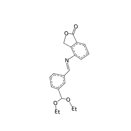 CCOC(OCC)c1cccc(C=Nc2cccc3c2COC3=O)c1